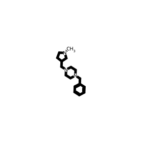 CN1CCC(CN2CCN(Cc3ccccc3)CC2)C1